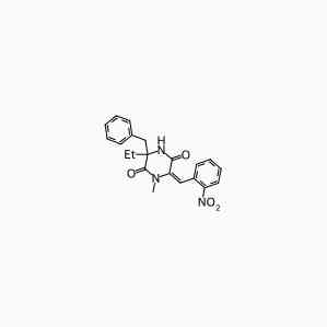 CCC1(Cc2ccccc2)NC(=O)/C(=C\c2ccccc2[N+](=O)[O-])N(C)C1=O